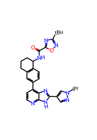 CC(C)n1cc(-c2nc3c(-c4ccc5c(c4)CCCC5NC(=O)c4nc(C(C)(C)C)no4)ccnc3[nH]2)cn1